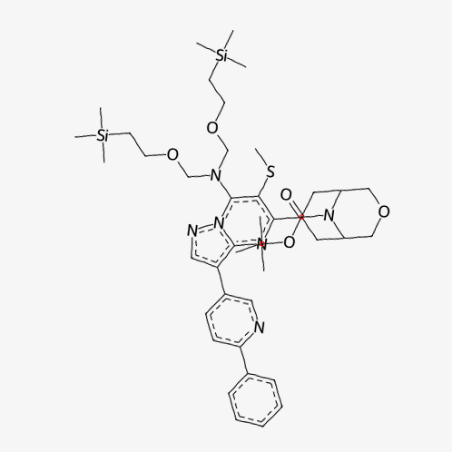 CSc1c(C2CC3COCC(C2)N3C(=O)OC(C)(C)C)nc2c(-c3ccc(-c4ccccc4)nc3)cnn2c1N(COCC[Si](C)(C)C)COCC[Si](C)(C)C